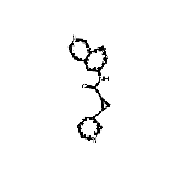 O=C(Nc1ccc2cnccc2c1)C1CC1c1cccnc1